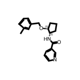 Cc1cccc(CO[C@H]2CCC[C@@H]2NC(=O)c2cccnc2)c1